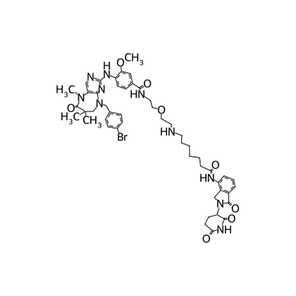 COc1cc(C(=O)NCCOCCNCCCCCCC(=O)Nc2cccc3c2CN(C2CCC(=O)NC2=O)C3=O)ccc1Nc1ncc2c(n1)N(Cc1ccc(Br)cc1)CC(C)(C)C(=O)N2C